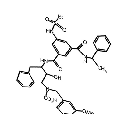 CCS(=O)(=O)Nc1cc(C(=O)NC(C)c2ccccc2)cc(C(=O)NC(Cc2ccccc2)C(O)CN(Cc2cccc(OC)c2)C(=O)O)c1